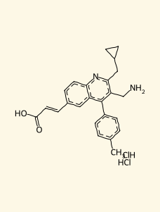 Cc1ccc(-c2c(CN)c(CC3CC3)nc3ccc(/C=C/C(=O)O)cc23)cc1.Cl.Cl